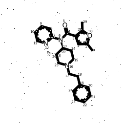 Cc1cc(C(=O)N(c2ccccn2)[C@H]2CCN(CCc3ccccc3)C[C@@H]2C)c(C)o1